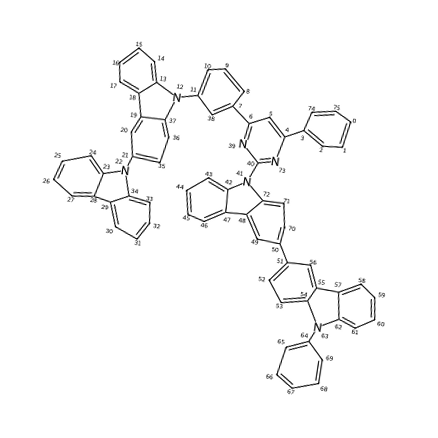 c1ccc(-c2cc(-c3cccc(-n4c5ccccc5c5cc(-n6c7ccccc7c7ccccc76)ccc54)c3)nc(-n3c4ccccc4c4cc(-c5ccc6c(c5)c5ccccc5n6-c5ccccc5)ccc43)n2)cc1